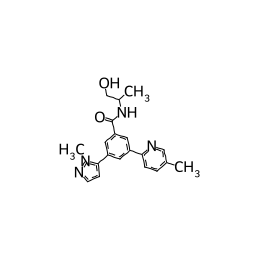 Cc1ccc(-c2cc(C(=O)NC(C)CO)cc(-c3ccnn3C)c2)nc1